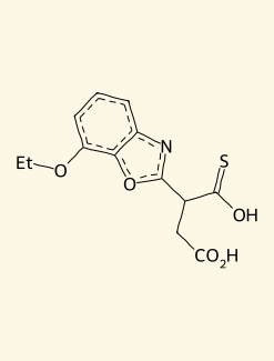 CCOc1cccc2nc(C(CC(=O)O)C(O)=S)oc12